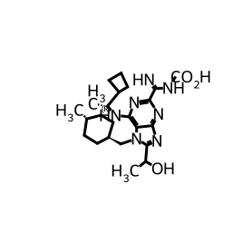 CC(O)c1nc2nc(C(=N)NC(=O)O)nc(N[C@H](C)C3CCC3)c2n1C[C@H]1CC[C@H](C)CC1